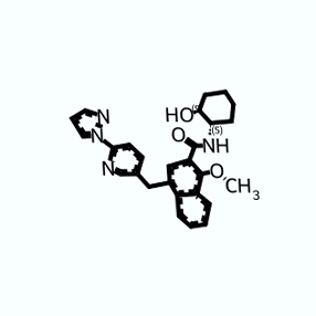 COc1c(C(=O)N[C@H]2CCCC[C@@H]2O)cc(Cc2ccc(-n3cccn3)nc2)c2ccccc12